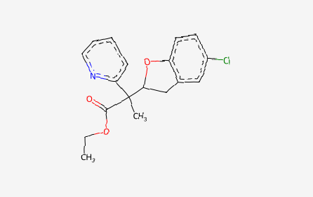 CCOC(=O)C(C)(c1ccccn1)C1Cc2cc(Cl)ccc2O1